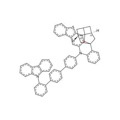 c1ccc(-n2c3ccccc3c3ccccc32)c(-c2ccc(-c3ccc(N(c4ccc5sc6ccccc6c5c4)c4ccccc4C45C[C@@H]6CC7C[C@@H](C4)C76C5)cc3)cc2)c1